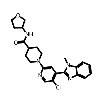 Cn1c(-c2cc(N3CCC(C(=O)NC4CCOC4)CC3)ncc2Cl)nc2ccccc21